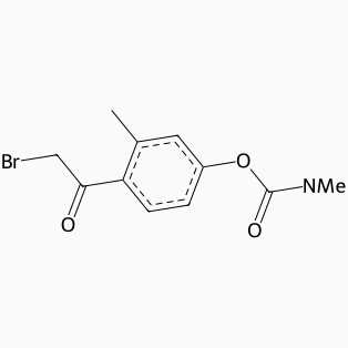 CNC(=O)Oc1ccc(C(=O)CBr)c(C)c1